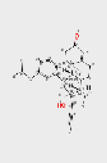 CC#C[C@]1(O)CC[C@H]2[C@@H]3CCC4=CC(=O)CC[C@]4(C)[C@H]3[C@H](c3cccc(CC(C)C)c3)C[C@@]21C